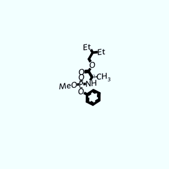 CCC(CC)COC(=O)[C@H](C)NP(=O)(OC)Oc1ccccc1